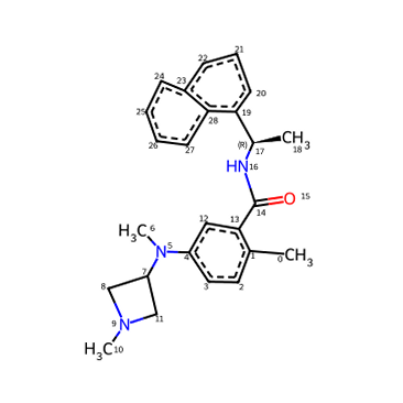 Cc1ccc(N(C)C2CN(C)C2)cc1C(=O)N[C@H](C)c1cccc2ccccc12